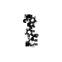 NC(=O)c1cccc2cn(-c3cccc(C(=O)N4CCCNCC4)c3)nc12